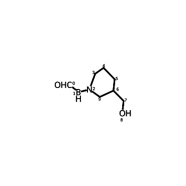 O=CBN1CCCC(CO)C1